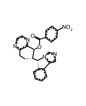 O=C(O[C@@H]1c2nccnc2CC[C@H]1[C@H]1c2ccccc2-c2cncn21)c1ccc([N+](=O)[O-])cc1